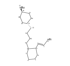 CCC/C=C/C1CCCCC1CCCC[C@H]1CC[C@H](CCCC)CC1